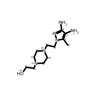 Cc1c(N)c(N)nn1CCN1CCN(CCO)CC1